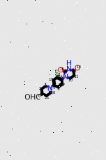 O=CC1CCN(c2ccc(N3CCC(=O)NC3=O)c(F)c2)CC1